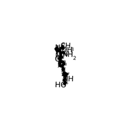 CC(O)c1nccn1C(CN)c1cc(-c2ccc(C#C[C@H]3C[C@H](NCCO)C3)cc2)on1